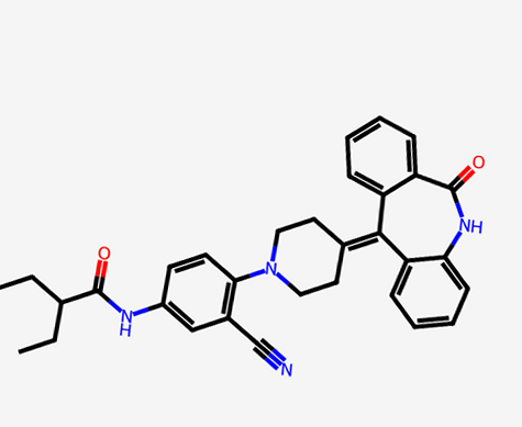 CCC(CC)C(=O)Nc1ccc(N2CCC(=C3c4ccccc4NC(=O)c4ccccc43)CC2)c(C#N)c1